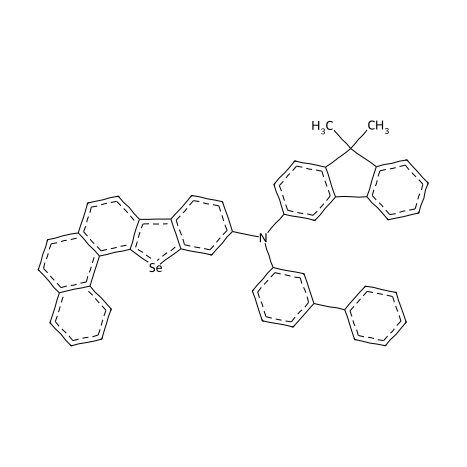 CC1(C)c2ccccc2-c2cc(N(c3cccc(-c4ccccc4)c3)c3ccc4c(c3)[se]c3c4ccc4ccc5ccccc5c43)ccc21